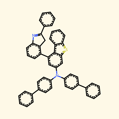 c1ccc(C2=Nc3cccc(-c4cc(N(c5ccc(-c6ccccc6)cc5)c5ccc(-c6ccccc6)cc5)cc5sc6ccccc6c45)c3C2)cc1